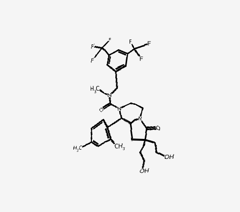 Cc1ccc(C2C3CC(CCO)(CCO)C(=O)N3CCN2C(=O)N(C)Cc2cc(C(F)(F)F)cc(C(F)(F)F)c2)c(C)c1